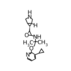 CC(C)(COc1ncccc1C1CC1)NC1OC1[C@H]1C2CNC[C@@H]21